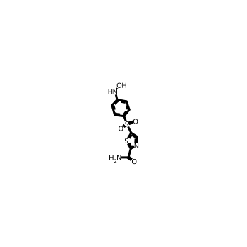 NC(=O)c1ncc(S(=O)(=O)c2ccc(NO)cc2)s1